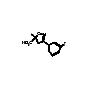 CC1(C(=O)O)CC(c2cccc(F)c2)=NO1